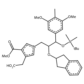 COC(=O)c1cn(CC(OC2Cc3ccccc3C2)C(O[Si](C)(C)C(C)(C)C)c2cc(OC)c(C)c(OC)c2)cc1CC(=O)O